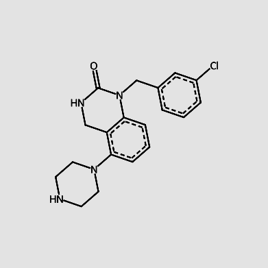 O=C1NCc2c(N3CCNCC3)cccc2N1Cc1cccc(Cl)c1